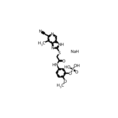 COc1ccc(NC(=O)CSc2nc3c(C)c(C#N)ncc3[nH]2)cc1OP(=O)(O)O.[NaH]